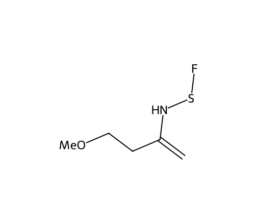 C=C(CCOC)NSF